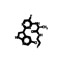 C[C@H](Nc1nc(C2CNc3ncc(Cl)cc32)ncc1F)C(=O)NCCF